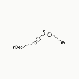 CCCCCCCCCCCCCCCCOc1ccc(C=CC(=S)c2ccc(CCCCCC(C)C)cc2)cc1